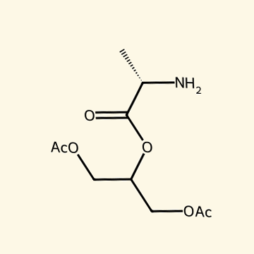 CC(=O)OCC(COC(C)=O)OC(=O)[C@H](C)N